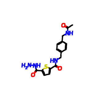 CC(=O)NCc1ccc(CNC(=O)c2ccc(C(=O)NN)s2)cc1